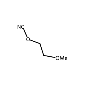 COCCOC#N